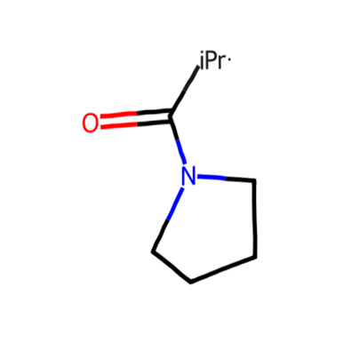 C[C](C)C(=O)N1CCCC1